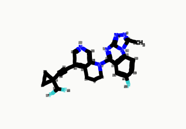 Cc1nnc2nc(N3CCCc4c(C#CC5(C(F)F)CC5)cncc43)c3cc(F)ccc3n12